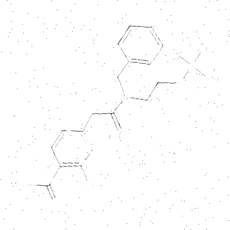 COC(=O)c1ccc(CC(=O)N(CCO[Si](C)(C)C(C)(C)C)Cc2ccccc2)cc1C